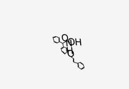 O=C(NO)C(c1ccccc1)c1cccc(OCC=Cc2ccccc2)c1